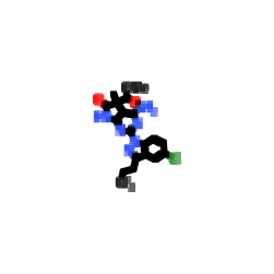 COC(=O)C1(C)C(=O)Nc2nc(-n3nc(CCC(F)(F)F)c4cc(Cl)ccc43)nc(N)c21